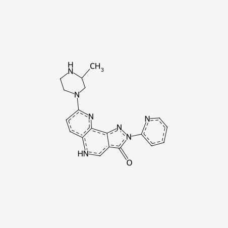 CC1CN(c2ccc3[nH]cc4c(=O)n(-c5ccccn5)nc-4c3n2)CCN1